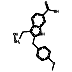 CCc1c(Cc2ccc(OC)cc2)[nH]c2cc(C(=O)O)ccc12.NO